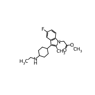 CCNC1CCC(c2c(C)n(CC(=O)OC)c3ccc(F)cc23)CC1